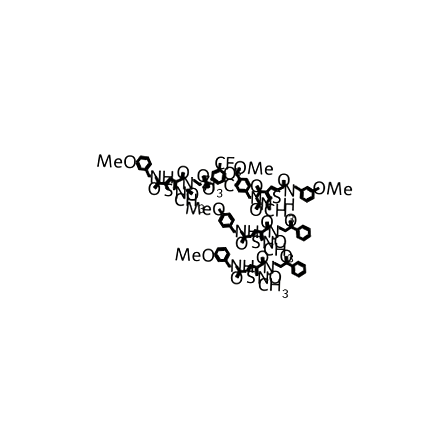 COC(=O)c1ccc(Cn2c(=O)c3cc(C(=O)NCc4cccc(OC)c4)sc3n(C)c2=O)cc1C.COc1ccc(CNC(=O)c2cc3c(=O)n(CCC(=O)c4ccccc4)c(=O)n(C)c3s2)cc1.COc1cccc(CNC(=O)c2cc3c(=O)n(CCC(=O)c4ccccc4)c(=O)n(C)c3s2)c1.COc1cccc(CNC(=O)c2cc3c(=O)n(CCS(=O)(=O)c4cccc(C(F)(F)F)c4)c(=O)n(C)c3s2)c1